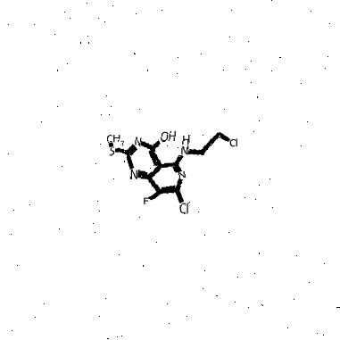 CSc1nc(O)c2c(NCCCl)nc(Cl)c(F)c2n1